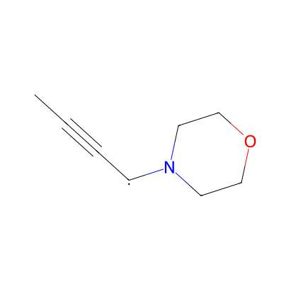 CC#C[CH]N1CCOCC1